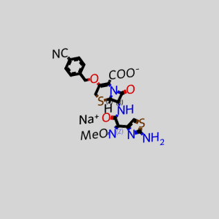 CO/N=C(\C(=O)N[C@@H]1C(=O)N2C(C(=O)[O-])=C(OCc3ccc(C#N)cc3)CS[C@@H]12)c1csc(N)n1.[Na+]